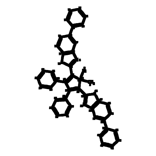 CC[Si]1(C)C(c2nc3cc(-c4ccccc4)ccc3s2)=C(c2ccccc2)C(c2ccccc2)=C1c1nc2cc(-c3ccccc3)ccc2s1